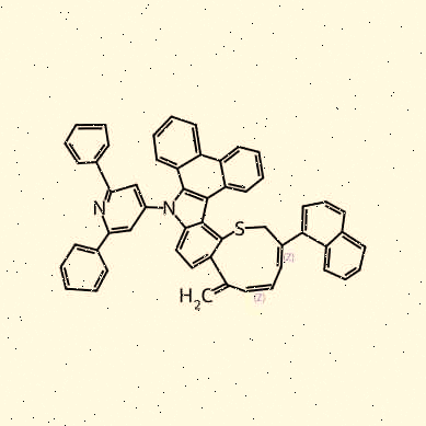 C=C1/C=C\C=C(\c2cccc3ccccc23)CSc2c1ccc1c2c2c3ccccc3c3ccccc3c2n1-c1cc(-c2ccccc2)nc(-c2ccccc2)c1